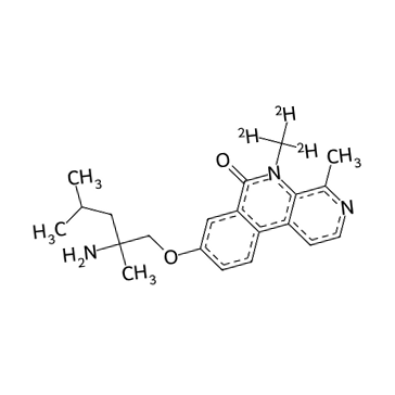 [2H]C([2H])([2H])n1c(=O)c2cc(OCC(C)(N)CC(C)C)ccc2c2ccnc(C)c21